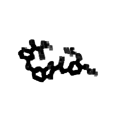 CNC(=O)c1cc(Oc2ccc3nc(NCc4ccc(OC)c(OC)c4)oc3c2)ccn1